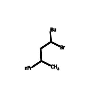 CCCC(C)CC(Br)C(C)CC